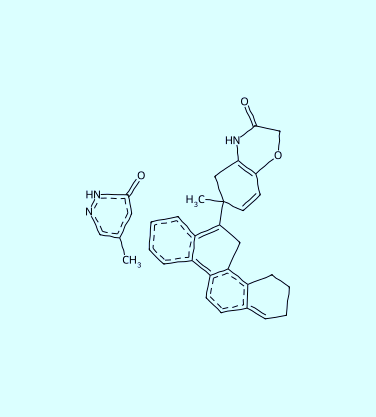 CC1(C2=c3ccccc3=c3ccc4c(c3C2)CCCC=4)C=CC2=C(C1)NC(=O)CO2.Cc1cn[nH]c(=O)c1